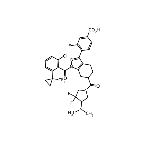 CN(C)C1CN(C(=O)C2CCc3c(-c4ccc(C(=O)O)cc4F)nn(C(=O)c4c(Cl)cccc4C4(C(F)(F)F)CC4)c3C2)CC1(F)F